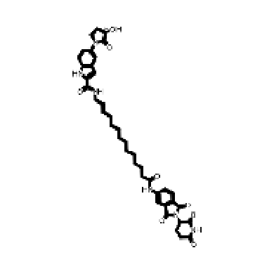 O=C1CCC(N2C(=O)c3ccc(NC(=O)CCCCCCCCCCCCCNC(=O)c4cc5cc(N6CC[C@@H](O)C6=O)ccc5[nH]4)cc3C2=O)C(=O)N1